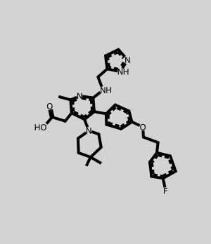 Cc1nc(NCc2ccn[nH]2)c(-c2ccc(OCCc3ccc(F)cc3)cc2)c(N2CCC(C)(C)CC2)c1CC(=O)O